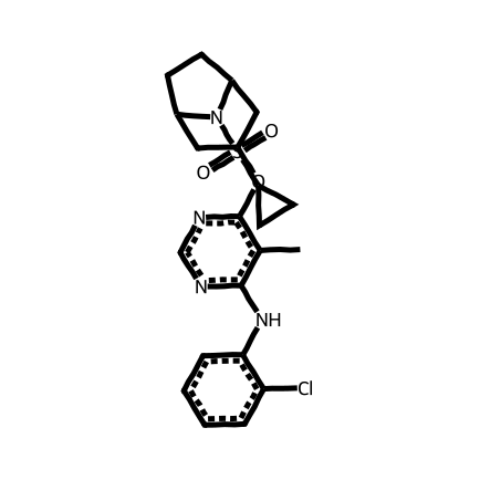 Cc1c(Nc2ccccc2Cl)ncnc1OC1CC2CCC(C1)N2S(=O)(=O)C1CC1